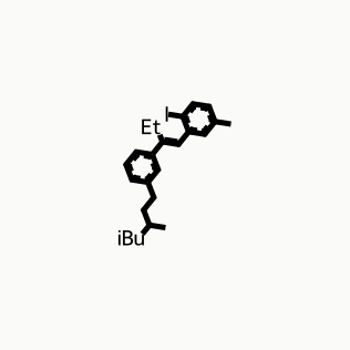 CC/C(=C\c1cc(C)ccc1I)c1cccc(CCC(C)C(C)CC)c1